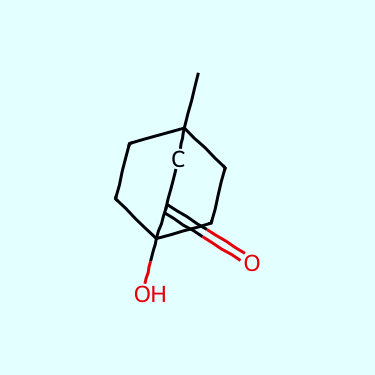 CC12CCC(O)(CC1)C(=O)C2